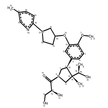 COc1ccc([C@@H]2CN(C(=O)[C@@H](O)CO)C[C@@]2(C)[C@@H](C)O)cc1OC1CCN(c2ccc(C)cn2)C1